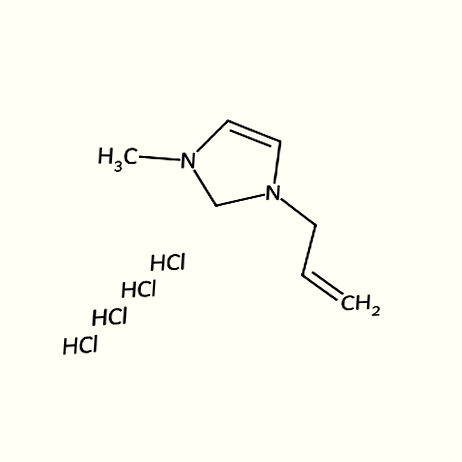 C=CCN1C=CN(C)C1.Cl.Cl.Cl.Cl